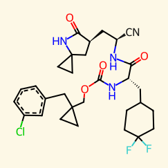 N#C[C@H](C[C@H]1CC2(CC2)NC1=O)NC(=O)[C@H](CC1CCC(F)(F)CC1)NC(=O)OCC1(Cc2cccc(Cl)c2)CC1